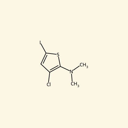 CN(C)c1sc(I)cc1Cl